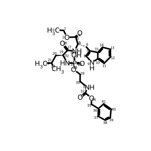 CCOC(=O)[C@H](Cc1c[nH]c2ccccc12)NC(=O)[C@H](CC(C)C)NP(=O)(O)OCCNC(=O)OCc1ccccc1